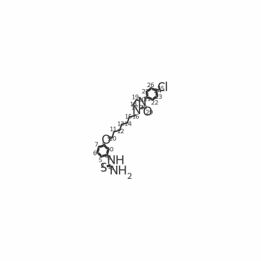 NC(=S)Nc1cccc(OCCCCCCCN2CCN(c3ccc(Cl)cc3)C2=O)c1